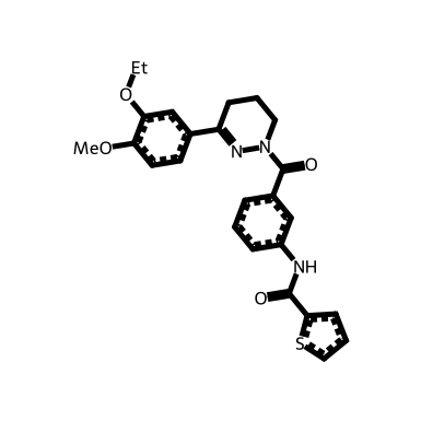 CCOc1cc(C2=NN(C(=O)c3cccc(NC(=O)c4cccs4)c3)CCC2)ccc1OC